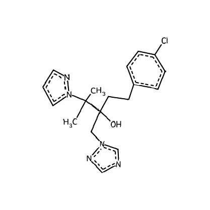 CC(C)(n1cccn1)C(O)(CCc1ccc(Cl)cc1)Cn1cncn1